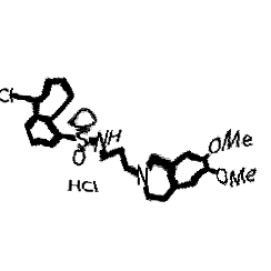 COc1cc2c(cc1OC)CN(CCCNS(=O)(=O)c1cccc3c(Cl)cccc13)CC2.Cl